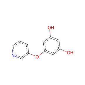 Oc1cc(O)cc(Oc2cccnc2)c1